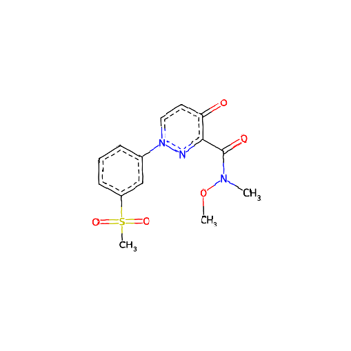 CON(C)C(=O)c1nn(-c2cccc(S(C)(=O)=O)c2)ccc1=O